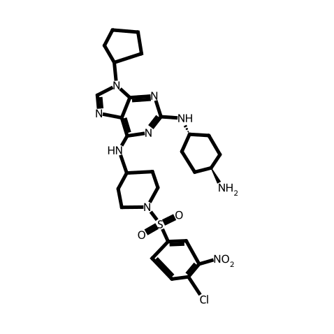 N[C@H]1CC[C@H](Nc2nc(NC3CCN(S(=O)(=O)c4ccc(Cl)c([N+](=O)[O-])c4)CC3)c3ncn(C4CCCC4)c3n2)CC1